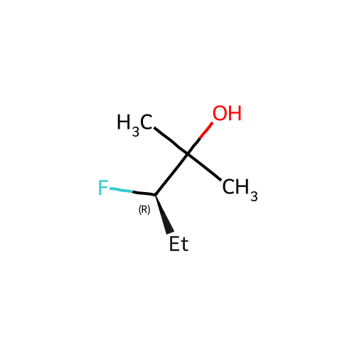 CC[C@@H](F)C(C)(C)O